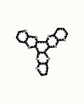 c1cnc2nc3c4nc5cccnc5nc4c4nc5cccnc5nc4c3nc2c1